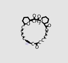 CC12CCCC(CCCC/C=C\CC(=O)CCCCOC(=O)C3CCCCN3C(=O)C1=O)O2